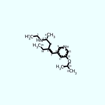 CCN[C@@H](C)CC(=Cc1cncc(OC(C)C)c1)CC